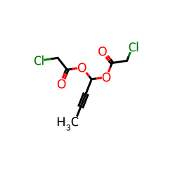 CC#CC(OC(=O)CCl)OC(=O)CCl